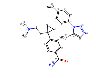 CN(C)CCC1(c2ccc(C(N)=O)cc2)CC1.COc1ccc(-n2nncc2C(=O)O)cc1